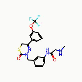 CNCC(=O)Nc1cccc(CN2N=C(c3cccc(OC(F)(F)F)c3)CSC2=O)c1